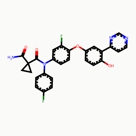 NC(=O)C1(C(=O)N(c2ccc(F)cc2)c2ccc(Oc3ccc(O)c(-c4ccncn4)c3)c(F)c2)CC1